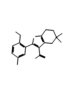 Cc1ccc(CN)c(-c2sc3c(c2C(=O)O)CC(C)(C)CC3)c1